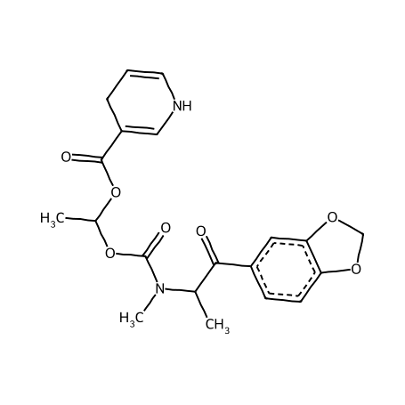 CC(OC(=O)C1=CNC=CC1)OC(=O)N(C)C(C)C(=O)c1ccc2c(c1)OCO2